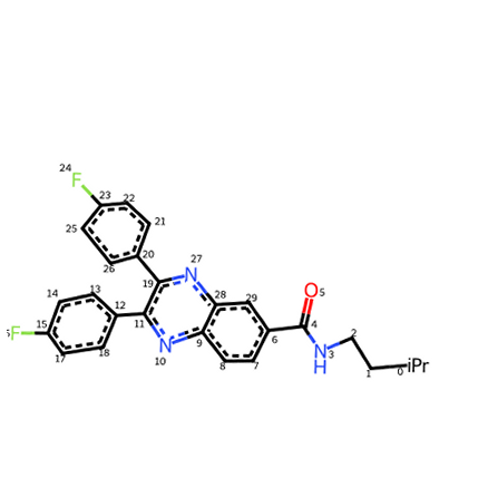 CC(C)CCNC(=O)c1ccc2nc(-c3ccc(F)cc3)c(-c3ccc(F)cc3)nc2c1